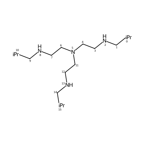 CC(C)CNCCN(CCNCC(C)C)CCNCC(C)C